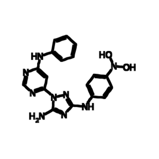 Nc1nc(Nc2ccc(N(O)O)cc2)nn1-c1cc(Nc2ccccc2)ncn1